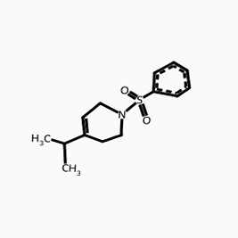 CC(C)C1=CCN(S(=O)(=O)c2ccccc2)CC1